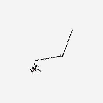 CCCCCCC1=C(c2cc(CC)cc(CC)c2)[N+](=[N-])C(c2cc(CC)cc(CC)c2)=C1CCCCC.CCCCCCCCCCCCCCCCCCCCCCCCCCCCC[CH2][Ni][CH2]CCCCCCCCCCCCCCCCCCCCCCCCCCCCC